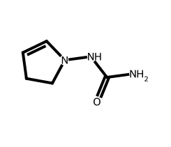 NC(=O)NN1C=CCC1